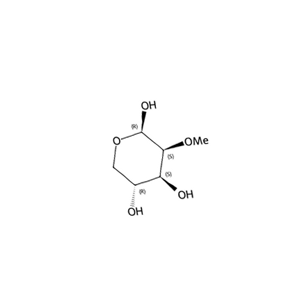 CO[C@H]1[C@@H](O)[C@H](O)CO[C@H]1O